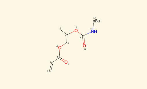 C=CC(=O)OCC(C)OC(=O)NCCCC